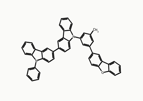 Cc1cc(-c2ccc3oc4ccccc4c3c2)cc(-n2c3ccccc3c3cc(-c4ccc5c(c4)c4ccccc4n5-c4ccccc4)ccc32)c1